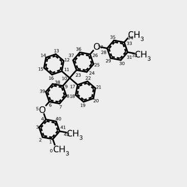 Cc1ccc(Oc2ccc(C(c3ccccc3)(c3ccccc3)c3ccc(Oc4ccc(C)c(C)c4)cc3)cc2)cc1C